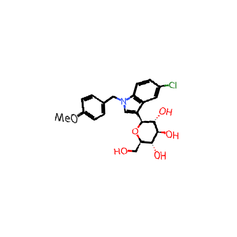 COc1ccc(Cn2cc([C@@H]3O[C@H](CO)[C@@H](O)[C@H](O)[C@H]3O)c3cc(Cl)ccc32)cc1